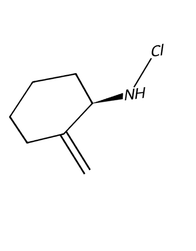 C=C1CCCC[C@H]1NCl